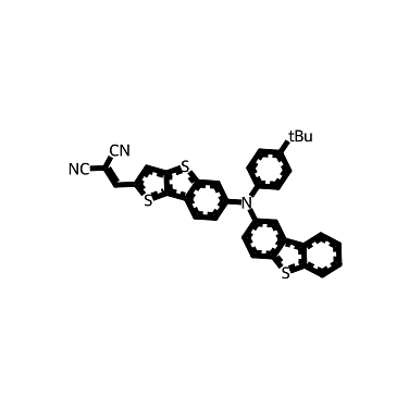 CC(C)(C)c1ccc(N(c2ccc3c(c2)sc2cc(C=C(C#N)C#N)sc23)c2ccc3sc4ccccc4c3c2)cc1